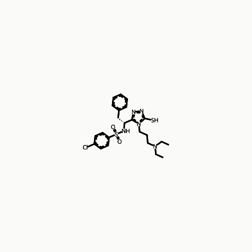 CCN(CC)CCCn1c(S)nnc1[C@@H](Cc1ccccc1)NS(=O)(=O)c1ccc(Cl)cc1